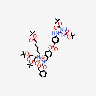 CC(C)(C)OC(=O)CCCCCN([C@@H](CC(=O)OC(C)(C)C)C(=O)OC(C)(C)C)S(=O)(=O)N(Cc1ccc(OC(=O)c2ccc(NC(=NC(=O)OC(C)(C)C)NC(=O)OC(C)(C)C)cc2)cc1)C(=O)OCc1ccccc1